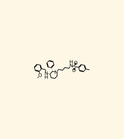 COc1ccccc1CN[C@H]1CCCN(CCCCNS(=O)(=O)c2ccc(C)cc2)[C@H]1c1ccccc1